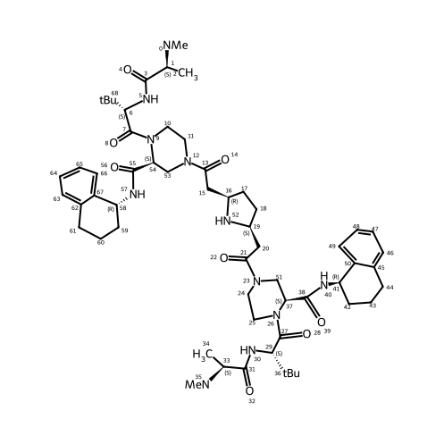 CN[C@@H](C)C(=O)N[C@H](C(=O)N1CCN(C(=O)C[C@H]2CC[C@@H](CC(=O)N3CCN(C(=O)[C@@H](NC(=O)[C@H](C)NC)C(C)(C)C)[C@H](C(=O)N[C@@H]4CCCc5ccccc54)C3)N2)C[C@H]1C(=O)N[C@@H]1CCCc2ccccc21)C(C)(C)C